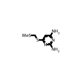 CSCSc1cc(N)nc(N)n1